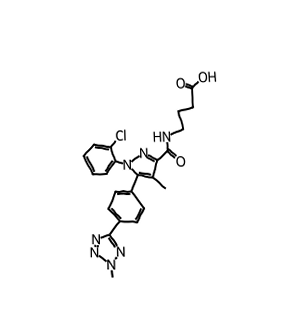 Cc1c(C(=O)NCCCC(=O)O)nn(-c2ccccc2Cl)c1-c1ccc(-c2nnn(C)n2)cc1